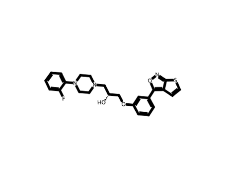 O[C@@H](COc1cccc(-c2onc3sccc23)c1)CN1CCN(c2ccccc2F)CC1